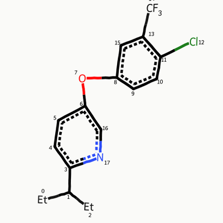 CCC(CC)c1ccc(Oc2ccc(Cl)c(C(F)(F)F)c2)cn1